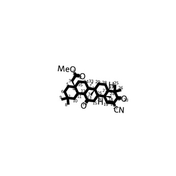 COC(=O)C[C@]12CCC(C)(C)CC1C1C(=O)C[C@@H]3[C@@]4(C)C=C(C#N)C(=O)C(C)(C)[C@@H]4CC[C@@]3(C)[C@]1(C)CC2